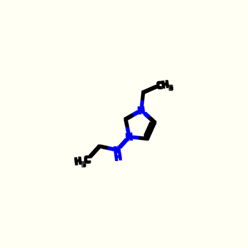 CCNN1C=CN(CC)C1